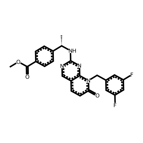 COC(=O)c1ccc([C@H](C)Nc2ncc3ccc(=O)n(Cc4cc(F)cc(F)c4)c3n2)cc1